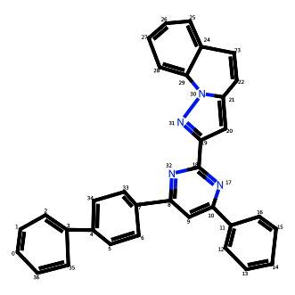 c1ccc(-c2ccc(-c3cc(-c4ccccc4)nc(-c4cc5ccc6ccccc6n5n4)n3)cc2)cc1